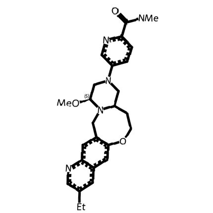 CCc1cnc2cc3c(cc2c1)OCCC1CN(c2ccc(C(=O)NC)nc2)C[C@H](OC)N1C3